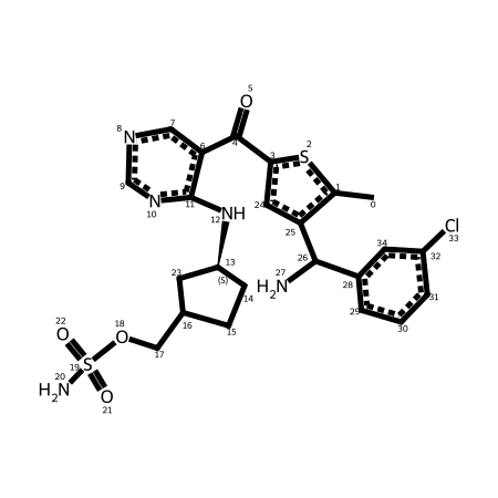 Cc1sc(C(=O)c2cncnc2N[C@H]2CCC(COS(N)(=O)=O)C2)cc1C(N)c1cccc(Cl)c1